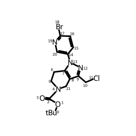 CC(C)(C)OC(=O)N1CCc2c(c(CCl)nn2-c2ccc(Br)nc2)C1